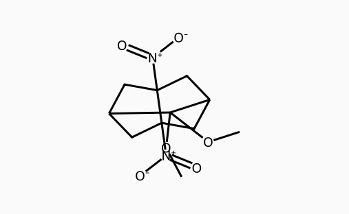 COC1(OC)C2CC3([N+](=O)[O-])CC1CC3([N+](=O)[O-])C2